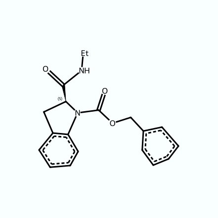 CCNC(=O)[C@@H]1Cc2ccccc2N1C(=O)OCc1ccccc1